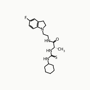 C[C@H](NC(=S)NC1CCCCC1)C(=O)NCCN1CCc2cc(F)ccc21